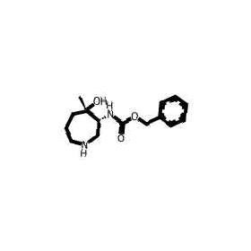 C[C@]1(O)CCCNC[C@H]1NC(=O)OCc1ccccc1